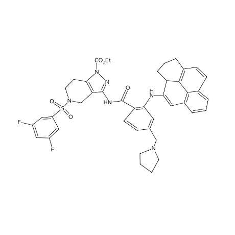 CCOC(=O)n1nc(NC(=O)c2ccc(CN3CCCC3)cc2NC2=Cc3cccc4ccc5c(c34)C2CCC5)c2c1CCN(S(=O)(=O)c1cc(F)cc(F)c1)C2